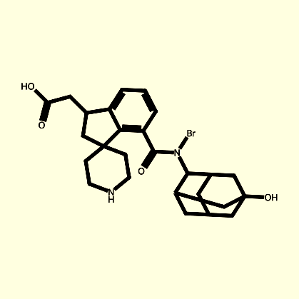 O=C(O)CC1CC2(CCNCC2)c2c(C(=O)N(Br)C3C4CC5CC3CC(O)(C5)C4)cccc21